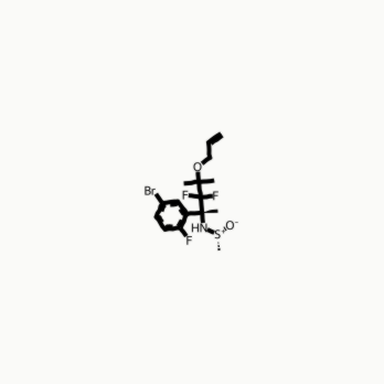 C=CCOC(C)(C)C(F)(F)[C@](C)(N[S@@+](C)[O-])c1cc(Br)ccc1F